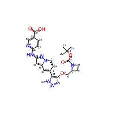 Cn1ncc(OCC2CCN2C(=O)OC(C)(C)C)c1-c1ccn2nc(Nc3ccc(C(=O)O)cn3)cc2c1